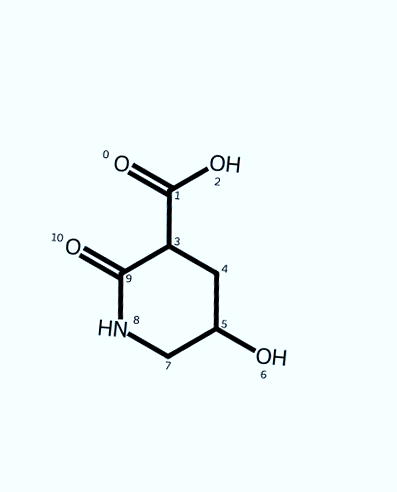 O=C(O)C1CC(O)CNC1=O